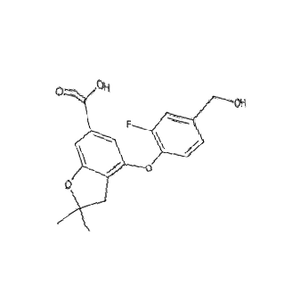 CC1(C)Cc2c(Oc3ccc(CO)cc3F)cc(C(=O)O)cc2O1